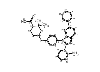 CC1(C)CN(Cc2ccc(-n3c(-c4cccnc4N)nc4ccc(-c5ccccc5)nc43)cc2)CCC1C(=O)O